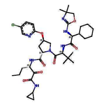 CCC[C@H](NC(=O)[C@@H]1C[C@@H](Oc2ccc(Cl)cn2)CN1C(=O)[C@@H](NC(=O)[C@@H](NC1=NC(C)(C)CO1)C1CCCCC1)C(C)(C)C)C(=O)C(=O)NC1CC1